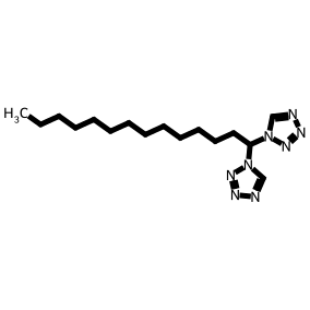 CCCCCCCCCCCCCC(n1cnnn1)n1cnnn1